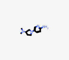 CN(C)[C@@H]1CCN(c2ccc(N)nc2)C1